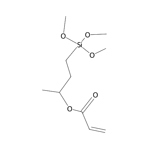 C=CC(=O)OC(C)CC[Si](OC)(OC)OC